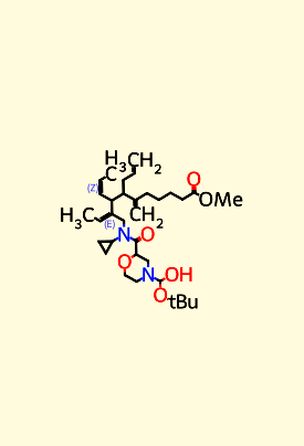 C=CCC(C(=C)CCCCC(=O)OC)C(/C=C\C)/C(=C\C)CN(C(=O)C1CN(C(O)OC(C)(C)C)CCO1)C1CC1